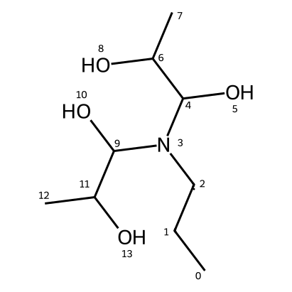 CC[CH]N(C(O)C(C)O)C(O)C(C)O